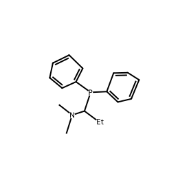 CCC(N(C)C)P(c1ccccc1)c1ccccc1